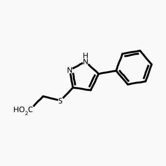 O=C(O)CSc1cc(-c2ccccc2)[nH]n1